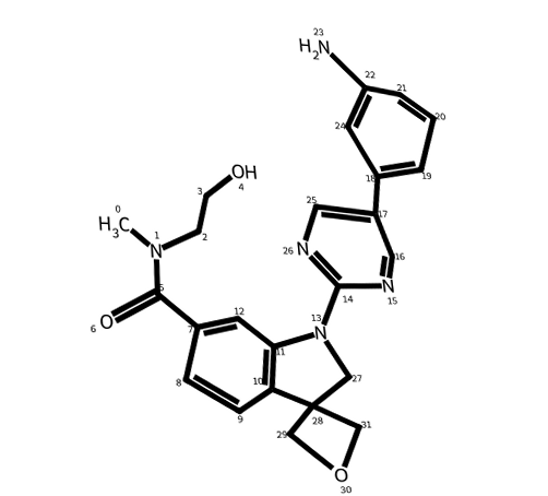 CN(CCO)C(=O)c1ccc2c(c1)N(c1ncc(-c3cccc(N)c3)cn1)CC21COC1